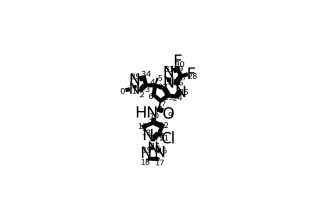 Cn1cc([C@@]2(C)C[C@H](C(=O)Nc3cnc(-n4nccn4)c(Cl)c3)c3cnc4c(F)c(F)nn4c32)cn1